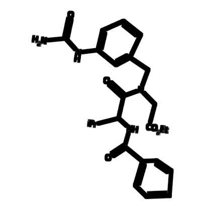 CCOC(=O)CN(Cc1cccc(NC(N)=O)c1)C(=O)C(NC(=O)c1ccccc1)C(C)C